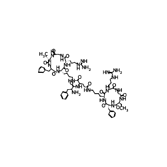 CC[C@@H]1NC(=O)CNC(=O)[C@H](CCCNC(=N)N)NC(=O)[C@H](CCCCNC(=O)CCC(NC(=O)C(N)Cc2ccccc2)C(=O)NCCCC[C@@H]2NC(=O)[C@@H](Cc3ccccc3)NC(=O)[C@H](CC)NC(=O)CNC(=O)[C@H](CCCNC(=N)N)NC2=O)NC(=O)[C@@H](Cc2ccccc2)NC1=O